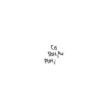 [Au].[Cd].[PbH2].[SbH3]